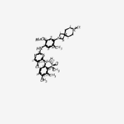 CCN1CCC2(CC1)CN(c1cc(OC)c(Nc3ncc(Cl)c(Nc4ccc(C)c(C)c4P(C)(C)=O)n3)cc1C)C2